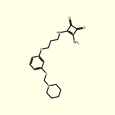 Nc1c(NCCCOc2cccc(SCN3CCCCC3)c2)c(=O)c1=O